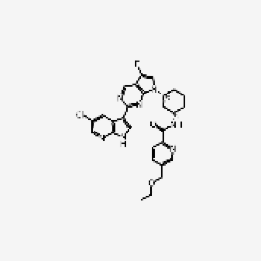 CCOCc1ccc(C(=O)N[C@H]2CCC[C@@H](n3cc(F)c4cnc(-c5c[nH]c6ncc(Cl)cc56)nc43)C2)nc1